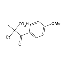 CCC(C)(C(=O)O)C(=O)c1ccc(OC)cc1